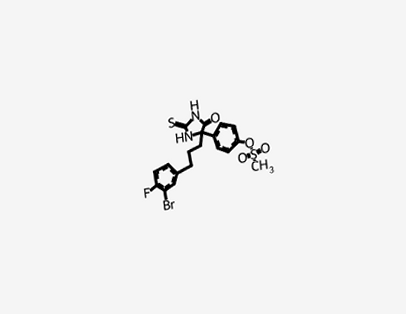 CS(=O)(=O)Oc1ccc(C2(CCCc3ccc(F)c(Br)c3)NC(=S)NC2=O)cc1